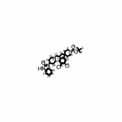 CC(C)(C)OC(=O)N1CCC(CCCN2CCC(n3c(=O)[nH]c4ccccc43)CC2)(c2ccc(Cl)c(Cl)c2)CC1